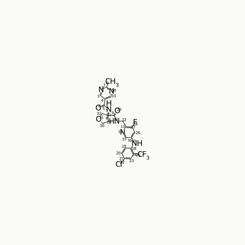 Cc1ncc(C(=O)N[C@@]2(C(=O)NCc3ncc(Nc4ccc(Cl)cc4C(F)(F)F)cc3F)CCOC2)cn1